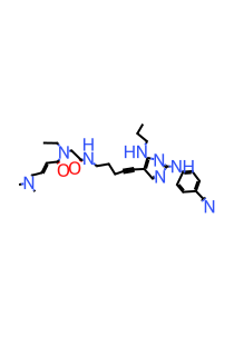 CCCNc1nc(Nc2ccc(C#N)cc2)ncc1C#CCCCNC(=O)CN(CC)C(=O)/C=C/CN(C)C